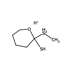 C[SiH2]C1(S)CCCCO1.[H+]